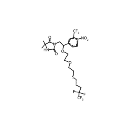 CC1(C)NC(=O)N(CC(OCCOCCSCCCC(F)(F)C(F)(F)F)c2ccc([N+](=O)[O-])c(C(F)(F)F)c2)C1=O